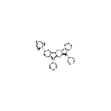 c1ccc(-n2c3ccccc3c3cc4c5cc(-c6ncncn6)ccc5n(-c5ccccc5)c4cc32)cc1